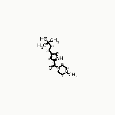 CN1CCN(C(=O)c2cc(CCC(C)(C)O)c[nH]2)CC1